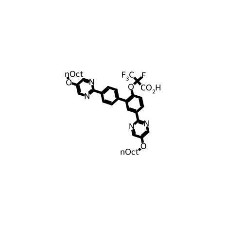 CCCCCCCCOc1cnc(-c2ccc(-c3cc(-c4ncc(OCCCCCCCC)cn4)ccc3OC(F)(C(=O)O)C(F)(F)F)cc2)nc1